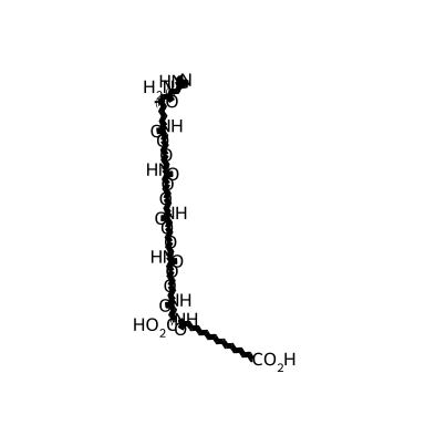 C[C@H](CCCCNC(=O)COCCOCCNC(=O)COCCOCCNC(=O)COCCOCCNC(=O)COCCOCCNC(=O)CC[C@H](NC(=O)CCCCCCCCCCCCCCCCC(=O)O)C(=O)O)CC(=O)[C@@H](N)Cc1cnc[nH]1